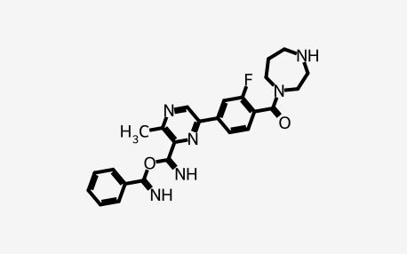 Cc1ncc(-c2ccc(C(=O)N3CCCNCC3)c(F)c2)nc1C(=N)OC(=N)c1ccccc1